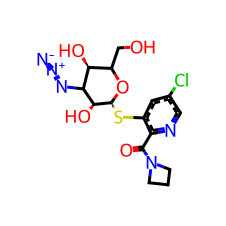 [N-]=[N+]=NC1[C@@H](O)C(CO)O[C@H](Sc2cc(Cl)cnc2C(=O)N2CCC2)[C@H]1O